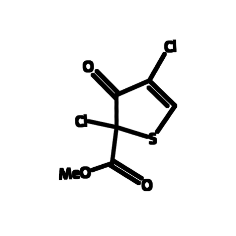 COC(=O)C1(Cl)SC=C(Cl)C1=O